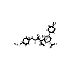 CCc1ccc([C@H]2C[C@@H](C(F)F)n3ncc(C(=O)NCc4ccc(OC)cc4)c3N2)cc1